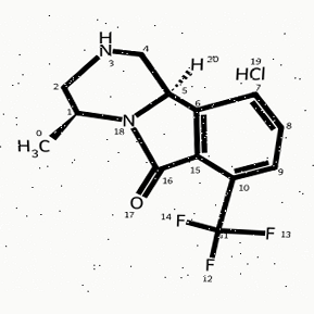 C[C@H]1CNC[C@H]2c3cccc(C(F)(F)F)c3C(=O)N12.Cl